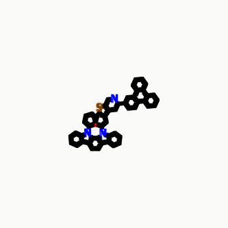 c1ccc(-n2c3ccccc3c3ccc4c5ccccc5n(-c5ccc6sc7cnc(-c8ccc9c%10ccccc%10c%10ccccc%10c9c8)cc7c6c5)c4c32)cc1